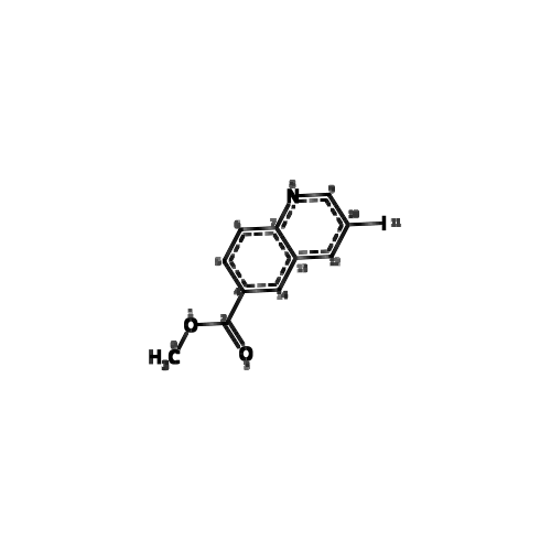 COC(=O)c1ccc2ncc(I)cc2c1